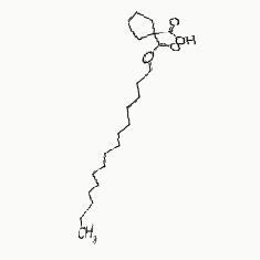 CCCCCCCCCCCCCCCOC(=O)C1(C(=O)O)CCCC1